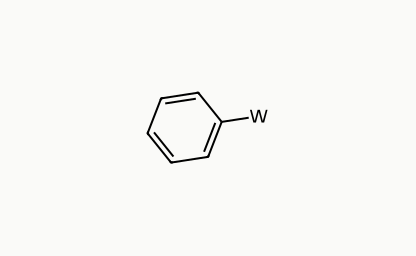 [W][c]1ccccc1